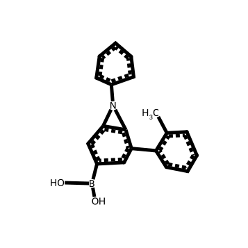 Cc1ccccc1-c1cc(B(O)O)cc2c1N2c1ccccc1